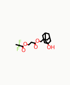 CC(F)(F)C(=O)OCCC(=O)OCC12CC3CC(CC(O)(C3)C1)C2